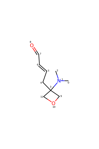 CN(C)C1(C/C=C/C=O)COC1